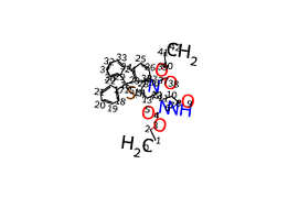 C=CCOC(=O)N1NC(=O)CC1[C@@H]1C[C@H](SC(c2ccccc2)(c2ccccc2)c2ccccc2)CN1C(=O)OCC=C